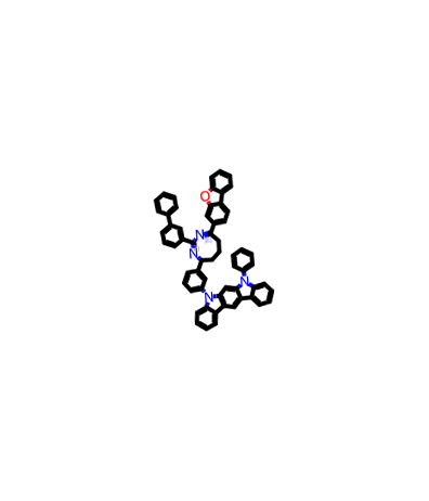 c1ccc(-c2cccc(C3=N/C(c4cccc(-n5c6ccccc6c6cc7c8ccccc8n(-c8ccccc8)c7cc65)c4)CCC/C(c4ccc5c(c4)oc4ccccc45)=N\3)c2)cc1